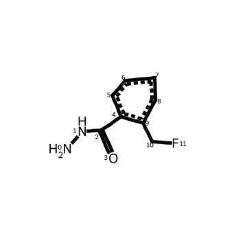 NNC(=O)c1ccccc1CF